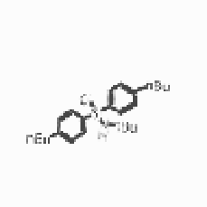 CCCCc1ccc([Si](Cl)(NC(C)(C)C)c2ccc(CCCC)cc2)cc1